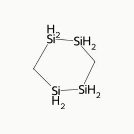 C1[SiH2][SiH2]C[SiH2][SiH2]1